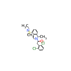 CC/N=S(/C)c1cccc2c1CCN(C(=O)Cc1c(Cl)cccc1Cl)C2C